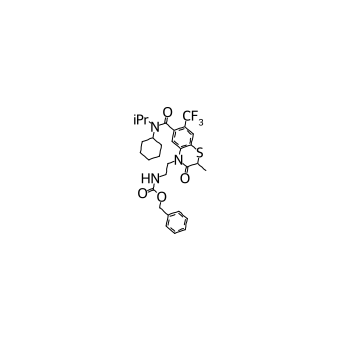 CC1Sc2cc(C(F)(F)F)c(C(=O)N(C(C)C)C3CCCCC3)cc2N(CCNC(=O)OCc2ccccc2)C1=O